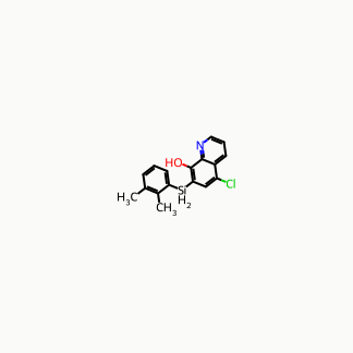 Cc1cccc([SiH2]c2cc(Cl)c3cccnc3c2O)c1C